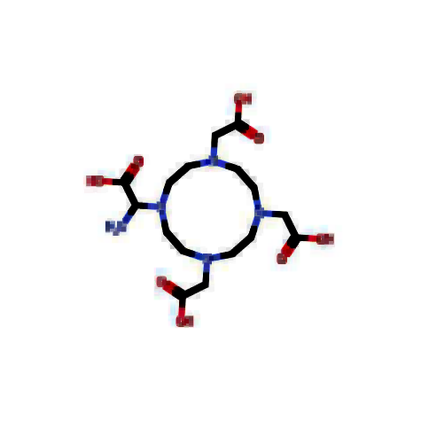 NC(C(=O)O)N1CCN(CC(=O)O)CCN(CC(=O)O)CCN(CC(=O)O)CC1